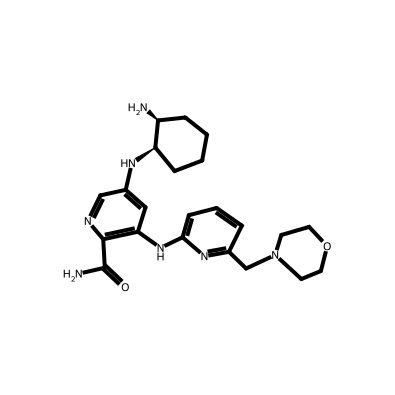 NC(=O)c1ncc(N[C@@H]2CCCC[C@@H]2N)cc1Nc1cccc(CN2CCOCC2)n1